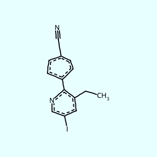 CCc1cc(I)cnc1-c1ccc(C#N)cc1